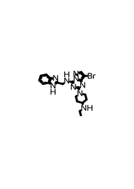 CCNC1CCN(c2nc(NCc3nc4ccccc4[nH]3)n3ncc(Br)c3n2)CC1